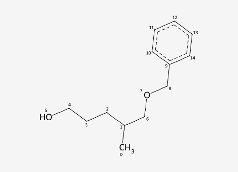 CC(CCCO)COCc1ccccc1